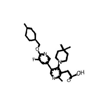 Cc1ncc(-c2cnc(OCC3CCC(C)CC3)c(F)c2)c(N2CCC(C)(C)CC2)c1CC(=O)O